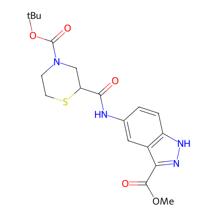 COC(=O)c1n[nH]c2ccc(NC(=O)C3CN(C(=O)OC(C)(C)C)CCS3)cc12